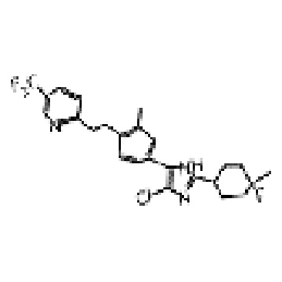 Cc1cc(-c2[nH]c(C3CCC(C)(F)CC3)nc2Cl)ccc1CCc1ccc(C(F)(F)F)cn1